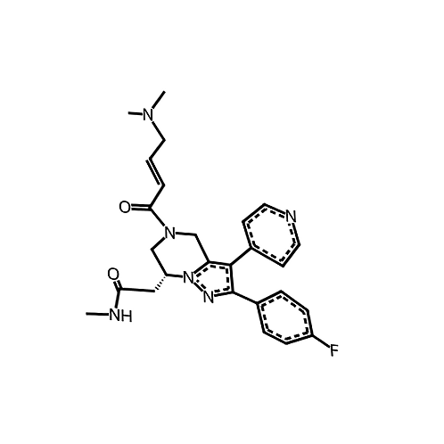 CNC(=O)C[C@@H]1CN(C(=O)/C=C/CN(C)C)Cc2c(-c3ccncc3)c(-c3ccc(F)cc3)nn21